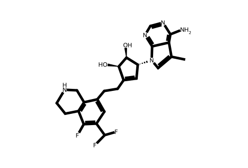 Cc1cn([C@@H]2C=C(CCc3cc(C(F)F)c(F)c4c3CNCC4)[C@@H](O)[C@H]2O)c2ncnc(N)c12